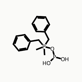 CP(C)(Cc1ccccc1)(Cc1ccccc1)OP(O)O